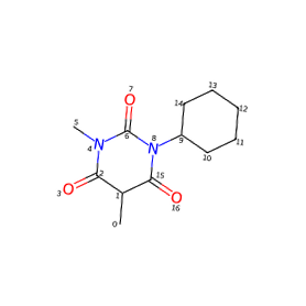 CC1C(=O)N(C)C(=O)N(C2CCCCC2)C1=O